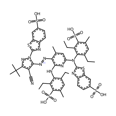 CCc1cc(C)c(S(=O)(=O)O)c(CC)c1Nc1nc(N(c2nc3ccc(S(=O)(=O)O)cc3s2)c2c(CC)cc(C)c(S(=O)(=O)O)c2CC)cc(C)c1/N=N/c1c(C#N)c(C(C)(C)C)nn1-c1nc2ccc(S(=O)(=O)O)cc2s1